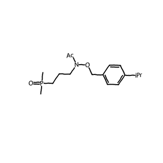 CC(=O)N(CCCP(C)(C)=O)OCc1ccc(C(C)C)cc1